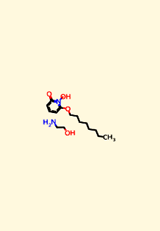 CCCCCCCCOc1cccc(=O)n1O.NCCO